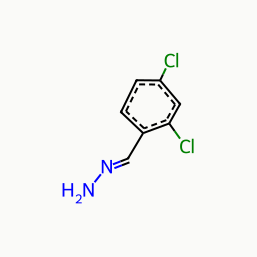 NN=Cc1ccc(Cl)cc1Cl